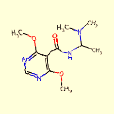 COc1ncnc(OC)c1C(=O)NC(C)N(C)C